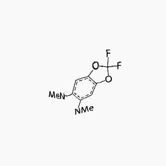 CNc1cc2c(cc1NC)OC(F)(F)O2